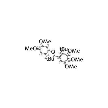 COc1cc(OCc2cc(OC)c(OC)c(OC)c2C(C)(C)C)c(C(C)(C)C)cc1OC